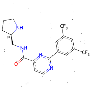 O=C(NC[C@H]1CCCN1)c1ccnc(-c2cc(C(F)(F)F)cc(C(F)(F)F)c2)n1